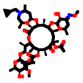 CO/N=C1\C[C@@H](C)O[C@@H](O[C@@H]2[C@@H](C)[C@H](O[C@H]3CC(C)N(CC4CC4)C[C@H](C)O3)[C@@H](C)C(=O)O[C@H]([C@@H](C)CO[C@@H]3O[C@H](C)[C@@H](O)[C@@H](OC)[C@H]3OC)[C@H](C)[C@@H](OC(=O)CC(C)C)[C@@H](C)C(=O)[C@@](C)(OC(C)=O)C[C@@H]2C)[C@@H]1O